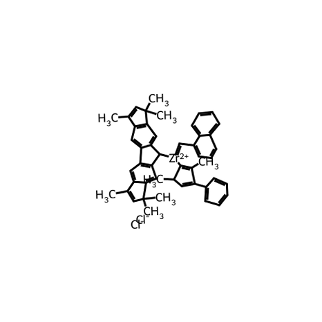 CC1=CC(C)(C)c2cc3c(cc21)-c1cc2c(cc1[CH]3/[Zr+2](=[CH]/c1cccc3ccccc13)[C]1=C(C)C(c3ccccc3)=CC1C)C(C)(C)C=C2C.[Cl-].[Cl-]